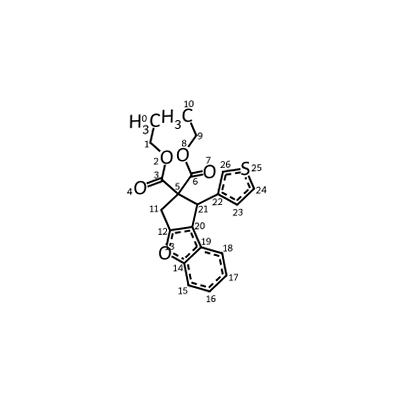 CCOC(=O)C1(C(=O)OCC)Cc2oc3ccccc3c2C1c1ccsc1